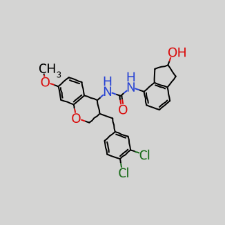 COc1ccc2c(c1)OCC(Cc1ccc(Cl)c(Cl)c1)C2NC(=O)Nc1cccc2c1CC(O)C2